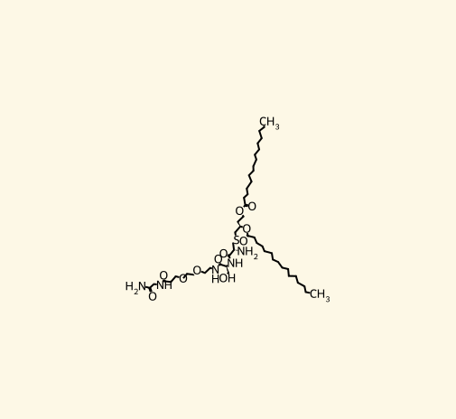 CCCCCCCCCCCCCCCC(=O)OCC[C@H](CSC[C@H](N)C(=O)N[C@@H](CO)C(=O)NCCOCCOCCC(=O)NCC(N)=O)OC(=O)CCCCCCCCCCCCCCC